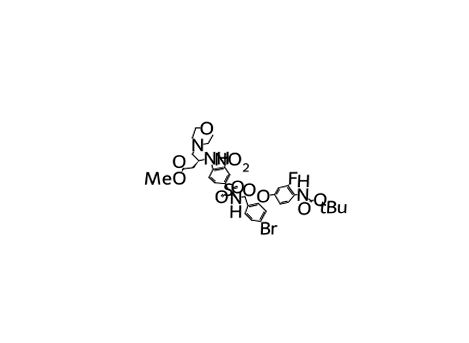 COC(=O)C[C@@H](CN1CCOCC1)Nc1ccc(S(=O)(=O)NC(=O)c2ccc(Br)cc2Oc2ccc(NC(=O)OC(C)(C)C)c(F)c2)cc1[N+](=O)[O-]